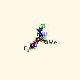 C=C/C(=C\N=C\Cl)c1nc(-c2ccc(OCc3ccc(C(F)(F)F)cn3)cc2OCCOC)c(Cl)[nH]1